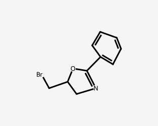 BrCC1CN=C(c2ccccc2)O1